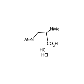 CNCC(NC)C(=O)O.Cl.Cl